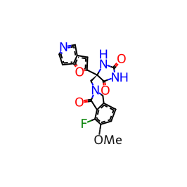 COc1ccc2c(c1F)C(=O)N(C[C@@]1(c3cc4cnccc4o3)NC(=O)NC1=O)C2